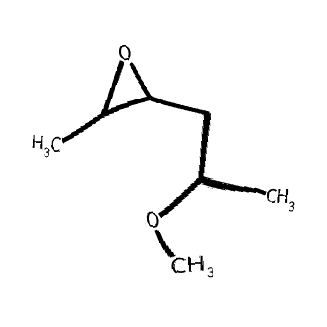 COC(C)CC1OC1C